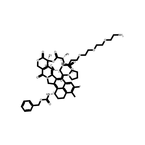 CC[C@@]1(OC(=O)[C@@H](NC(=O)[C@@H]2CCCN2C(=O)[C@H](CC(=O)O)NC(=O)CCOCCOCCOCCN)C(C)C)C(=O)OCc2c1cc1n(c2=O)Cc2c-1nc1cc(F)c(C)c3c1c2[C@@H](NC(=O)OCc1ccccc1)CC3